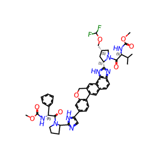 COC(=O)N[C@H](C(=O)N1C[C@@H](COC(F)F)C[C@H]1c1nc2ccc3cc4c(cc3c2[nH]1)COc1cc(-c2cnc(C3CCCN3C(=O)[C@H](NC(=O)OC)c3ccccc3)[nH]2)ccc1-4)C(C)C